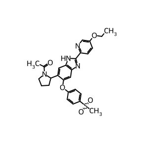 CCOc1ccc(-c2nc3cc(Oc4ccc(S(C)(=O)=O)cc4)c(C4CCCN4C(C)=O)cc3[nH]2)nc1